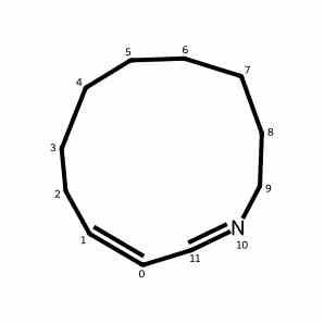 C1=CCCCCCCCCN=C1